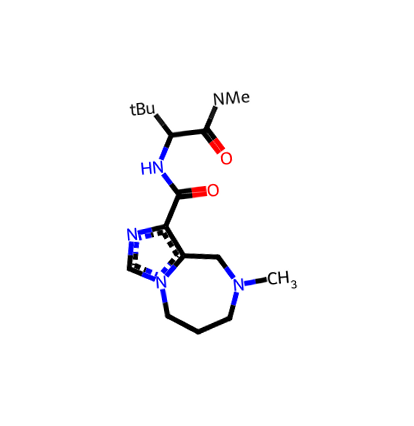 CNC(=O)C(NC(=O)c1ncn2c1CN(C)CCC2)C(C)(C)C